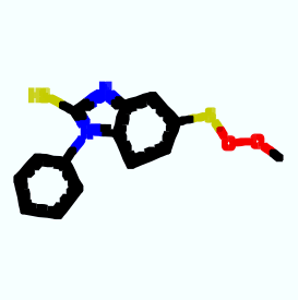 COOSc1ccc2c(c1)nc(S)n2-c1ccccc1